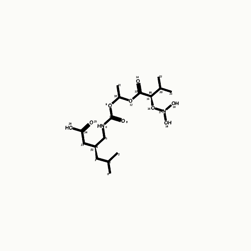 CC(C)C[C@H](CNC(=O)OC(C)OC(=O)[C@H](ON(O)O)C(C)C)CC(=O)O